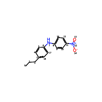 CCCc1ccc(Nc2ccc([N+](=O)[O-])cc2)cc1